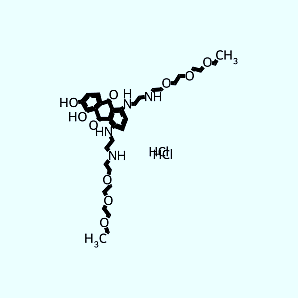 CCOCCOCCOCCNCCNc1ccc(NCCNCCOCCOCCOCC)c2c1C(=O)c1ccc(O)c(O)c1C2=O.Cl.Cl